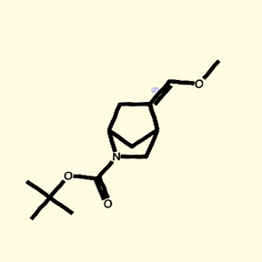 CO/C=C1/CC2CC1CN2C(=O)OC(C)(C)C